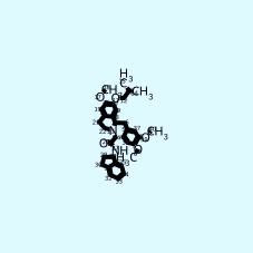 COc1ccc(CC2c3cc(OCC(C)C)c(OC)cc3CCN2CC(=O)NC2CCc3ccccc32)cc1OC